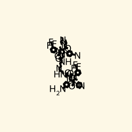 CC1=C(C(=O)N2CCN(C)CC2)[C@@H](c2ccc(N)cc2)N(CC(=O)NCCN(C)CCNC(=O)CN2C(=O)N(c3cccc(C(F)(F)F)c3)C(C)=C(C(=O)N3CCN(C)CC3)[C@H]2c2ccc(C#N)cc2)C(=O)N1c1cccc(C(F)(F)F)c1